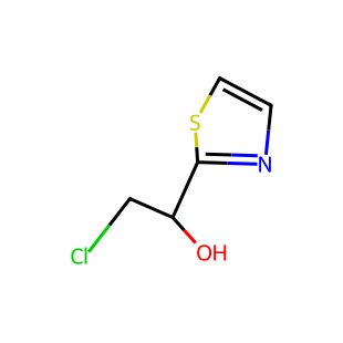 OC(CCl)c1nccs1